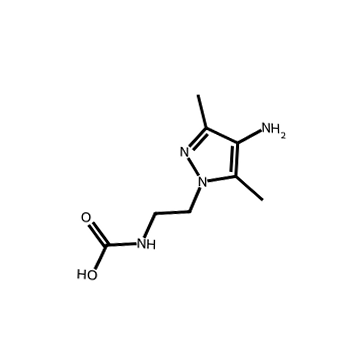 Cc1nn(CCNC(=O)O)c(C)c1N